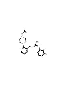 NC(=O)CN1CCN(c2ncccc2CNc2nnnn2-c2cccc(Cl)c2Cl)CC1